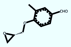 Cc1cc(C=O)ccc1OC[C@@H]1CO1